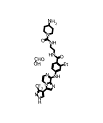 CCc1cc(Nc2nccn3c(-c4c[nH]nc4C(F)(F)F)cnc23)ccc1C(=O)NCCNC(=O)N1CCC(N)CC1.O=CO